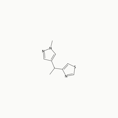 C[C](c1cnn(C)c1)c1cscn1